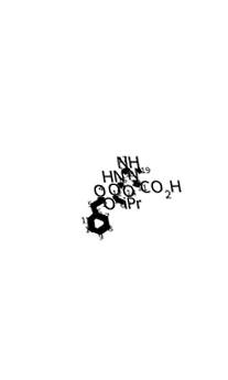 CC(C)C(OC(=O)Cc1ccccc1)OC(=O)NC(=N)N(C)CC(=O)O